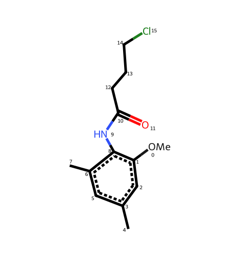 COc1cc(C)cc(C)c1NC(=O)CCCCl